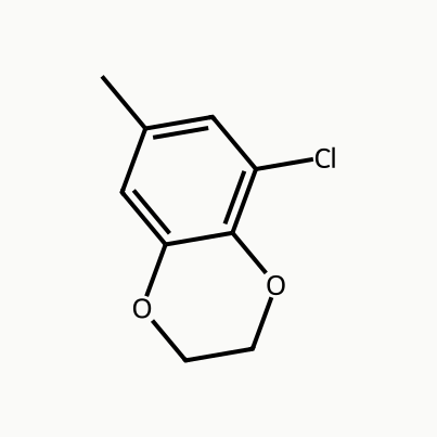 Cc1cc(Cl)c2c(c1)OCCO2